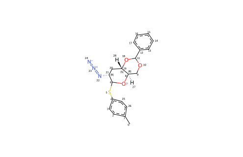 Cc1ccc(SC2O[C@@H]3COC(c4ccccc4)O[C@H]3C[C@H]2N=[N+]=[N-])cc1